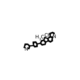 CC1(C)c2cc(-c3ccc(-c4cccnc4)cc3)ccc2-c2ccc3ncccc3c21